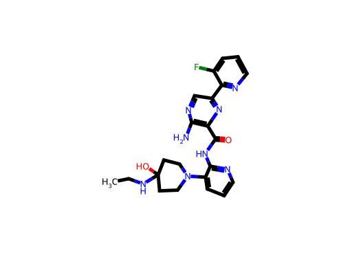 CCNC1(O)CCN(c2cccnc2NC(=O)c2nc(-c3ncccc3F)cnc2N)CC1